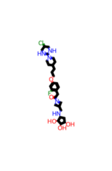 O=C(Cc1ccc(OCCCC2CCN(C3NCC(Cl)CN3)CC2)cc1F)N1CC(CN[C@@H]2C[C@H](O)[C@@H](O)[C@H]2O)C1